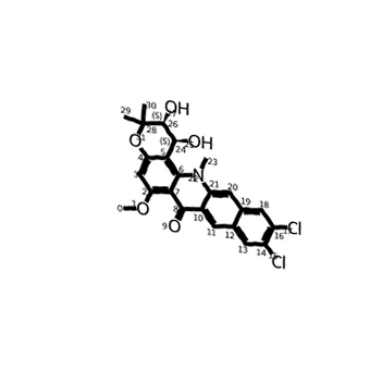 COc1cc2c(c3c1c(=O)c1cc4cc(Cl)c(Cl)cc4cc1n3C)[C@H](O)[C@H](O)C(C)(C)O2